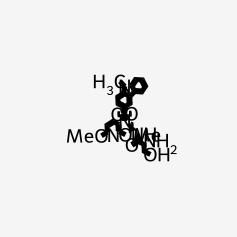 COc1ccc(N(CCNC(=O)[C@@H](N)CO)S(=O)(=O)c2ccc3c(c2)c2ccccc2n3C)c(OC)n1